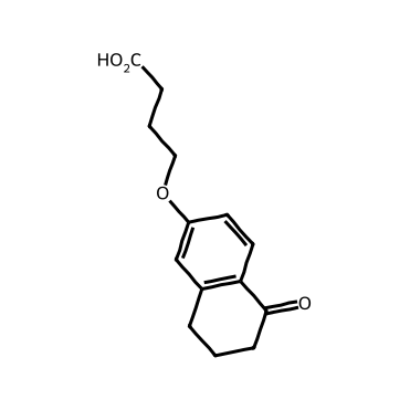 O=C(O)CCCOc1ccc2c(c1)CCCC2=O